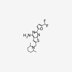 CC1CCCC(C)N1Cc1cc2c(N)nc(-c3ccc(C(F)F)o3)nc2s1